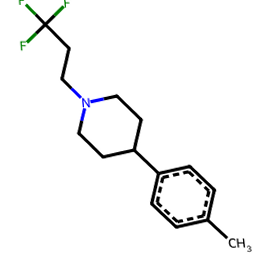 Cc1ccc(C2CCN(CCC(F)(F)F)CC2)cc1